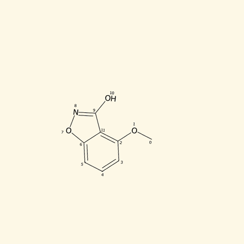 COc1cccc2onc(O)c12